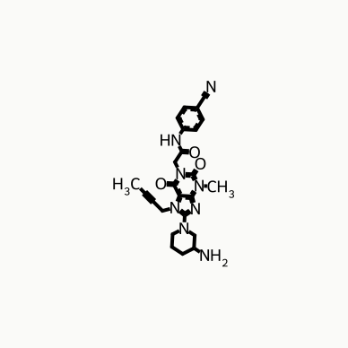 CC#CCn1c(N2CCCC(N)C2)nc2c1c(=O)n(CC(=O)Nc1ccc(C#N)cc1)c(=O)n2C